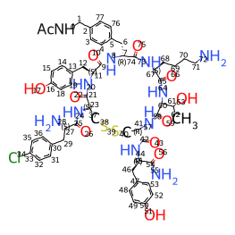 CC(=O)NCc1ccc(C[C@H]2NC(=O)[C@H](Cc3ccc(O)cc3)NC(=O)[C@H](NC(=O)[C@@H](N)Cc3ccc(Cl)cc3)CSSC[C@@H](C(=O)N[C@H](Cc3ccc(O)cc3)C(N)=O)NC(=O)C(C(C)O)NC(=O)[C@H](CCCCN)NC2=O)cc1